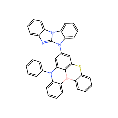 c1ccc(N2c3ccccc3B3c4ccccc4Sc4cc(-n5c6ccccc6n6c7ccccc7nc56)cc2c43)cc1